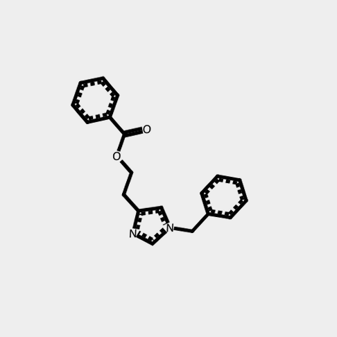 O=C(OCCc1cn(Cc2ccccc2)cn1)c1ccccc1